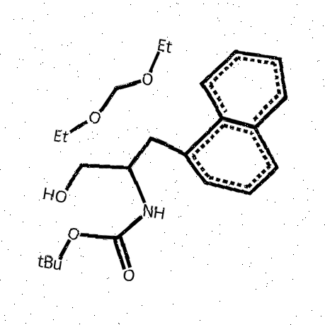 CC(C)(C)OC(=O)NC(CO)Cc1cccc2ccccc12.CCOCOCC